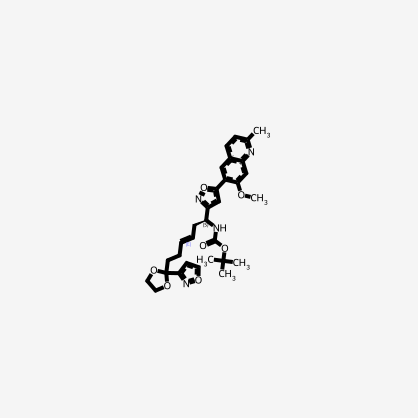 COc1cc2nc(C)ccc2cc1-c1cc([C@H](C/C=C/CCC2(c3ccon3)OCCO2)NC(=O)OC(C)(C)C)no1